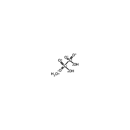 O.O=S(=O)(O)S(=O)(=O)O